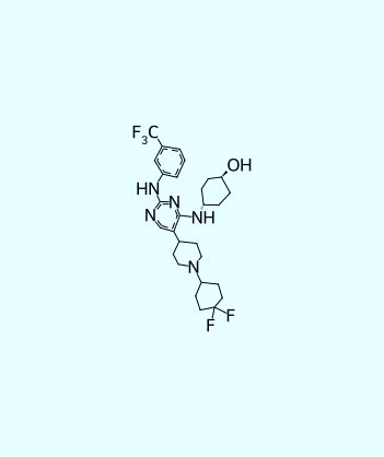 O[C@H]1CC[C@H](Nc2nc(Nc3cccc(C(F)(F)F)c3)ncc2C2CCN(C3CCC(F)(F)CC3)CC2)CC1